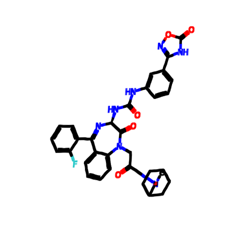 O=C(Nc1cccc(-c2noc(=O)[nH]2)c1)N[C@@H]1N=C(c2ccccc2F)c2ccccc2N(CC(=O)N2CC3CCC(CC3)C2)C1=O